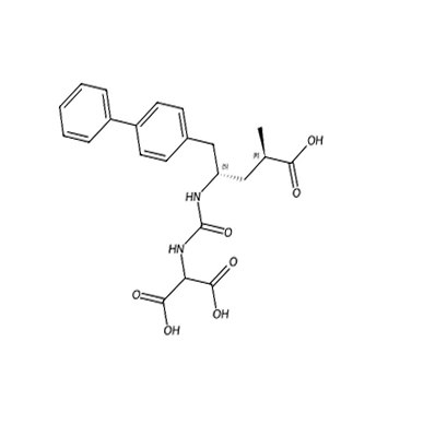 C[C@H](C[C@@H](Cc1ccc(-c2ccccc2)cc1)NC(=O)NC(C(=O)O)C(=O)O)C(=O)O